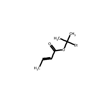 [CH2]CC(C)(C)OC(=O)C=CC